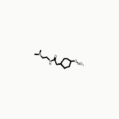 CN(C)CCNC(=O)CC1CCC(O[N+](=O)[O-])CC1